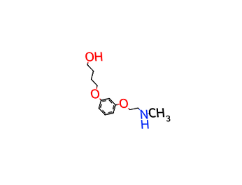 CNCCOc1cccc(OCCCCO)c1